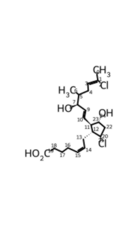 C/C(Cl)=C/CC(C)[C@H](O)/C=C/[C@@H]1[C@@H](C/C=C\CCCC(=O)O)[C@H](Cl)C[C@H]1O